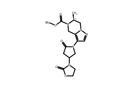 C[C@H]1Cn2ncc(N3CC(N4CCOC4=O)CC3=O)c2CN1C(=O)OC(C)(C)C